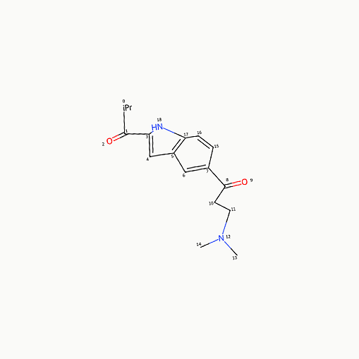 CC(C)C(=O)c1cc2cc(C(=O)CCN(C)C)ccc2[nH]1